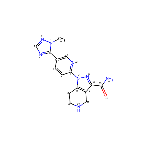 Cn1ncnc1-c1ccc(-n2nc(C(N)=O)c3c2CCNC3)nc1